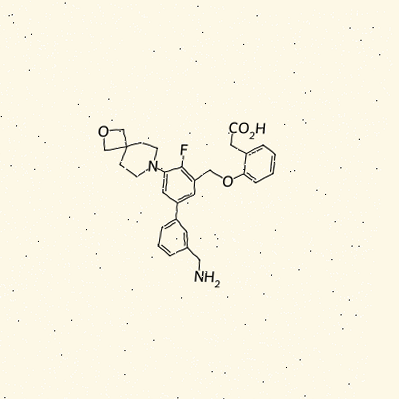 NCc1cccc(-c2cc(COc3ccccc3CC(=O)O)c(F)c(N3CCC4(CC3)COC4)c2)c1